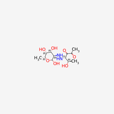 CC(=O)C(=O)[C@@H](NN[C@H]1C(O)O[C@H](C)[C@H](O)[C@@H]1O)[C@@H](C)O